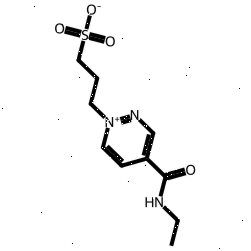 CCNC(=O)c1cc[n+](CCCS(=O)(=O)[O-])nc1